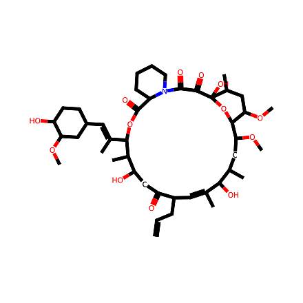 C=CCC1/C=C(/C)C(O)C(C)CC(OC)C2OC(O)(C(=O)C(=O)N3CCCCC3C(=O)OC(/C(C)=C/C3CCC(O)C(OC)C3)C(C)C(O)CC1=O)C(C)CC2OC